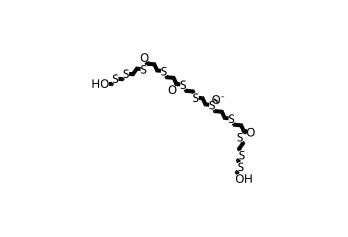 O=C(CCSCCC[S+]([O-])CCSCCSC(=O)CCSCCC(=O)SCCSCSCO)SCCSCSCO